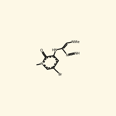 CN/C=C(\N=N)Nc1cc(Br)cn(C)c1=O